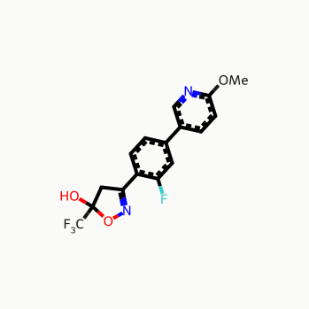 COc1ccc(-c2ccc(C3=NOC(O)(C(F)(F)F)C3)c(F)c2)cn1